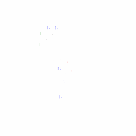 CCc1cc(NC(=O)NS(=O)(=O)c2cccc(C3(C(F)(F)F)N=N3)c2)c2ncccc2c1